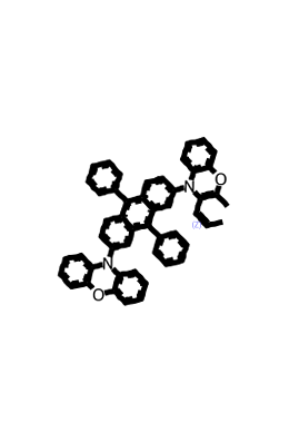 C/C=C\C1=C(C)Oc2ccccc2N1c1ccc2c(-c3ccccc3)c3ccc(N4c5ccccc5Oc5ccccc54)cc3c(-c3ccccc3)c2c1